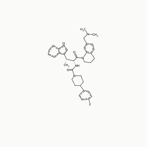 C[C@H](c1c[nH]c2ccccc12)[C@@H](NC(=O)N1CCC(c2ccc(F)cc2)CC1)C(=O)N1CCCc2ccc(CN(C)C)cc21